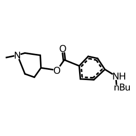 CCCCNc1ccc(C(=O)OC2CCN(C)CC2)cc1